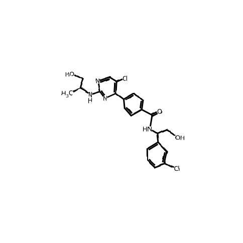 C[C@@H](CO)Nc1ncc(Cl)c(-c2ccc(C(=O)NC(CO)c3cccc(Cl)c3)cc2)n1